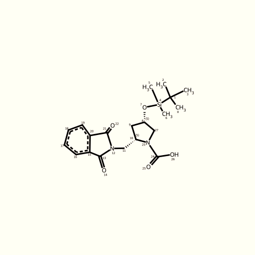 CC(C)(C)[Si](C)(C)O[C@H]1C[C@@H](CN2C(=O)c3ccccc3C2=O)N(C(=O)O)C1